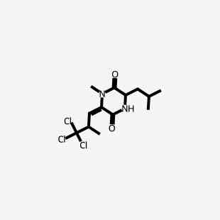 CC(C)CC1NC(=O)/C(=C\C(C)C(Cl)(Cl)Cl)N(C)C1=O